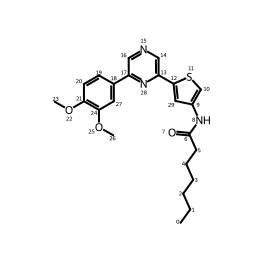 CCCCCCC(=O)Nc1csc(-c2cncc(-c3ccc(OC)c(OC)c3)n2)c1